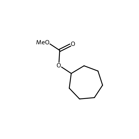 [CH2]OC(=O)OC1CCCCCC1